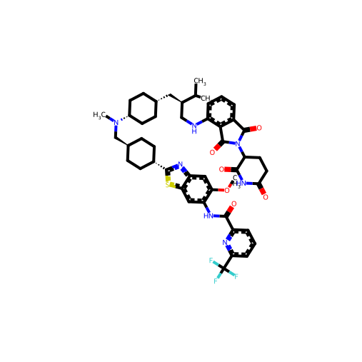 COc1cc2nc([C@H]3CC[C@H](CN(C)[C@H]4CC[C@@H](C[C@H](CNc5cccc6c5C(=O)N(C5CCC(=O)NC5=O)C6=O)C(C)C)CC4)CC3)sc2cc1NC(=O)c1cccc(C(F)(F)F)n1